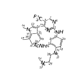 CC(=O)Nc1cc(Nc2ncc(C(F)(F)F)c(-c3cn(C)c4c(C)cccc34)n2)ccc1N(C)CCN(C)C